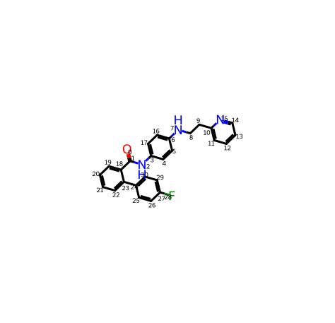 O=C(Nc1ccc(NCCc2ccccn2)cc1)c1ccccc1-c1ccc(F)cc1